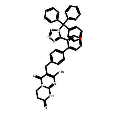 CCCCc1nc2n(c(=O)c1Cc1ccc(-c3ccccc3-c3nnnn3C(c3ccccc3)(c3ccccc3)c3ccccc3)cc1)CCC(=O)N2